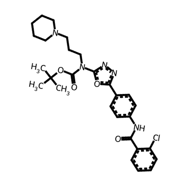 CC(C)(C)OC(=O)N(CCCN1CCCCC1)c1nnc(-c2ccc(NC(=O)c3ccccc3Cl)cc2)o1